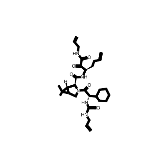 C=CCC[C@@H](NC(=O)[C@@H]1[C@@H]2C(CN1C(=O)[C@@H](NC(=O)NCC=C)C1CCCCC1)C2(C)C)C(=O)C(=O)NCC=C